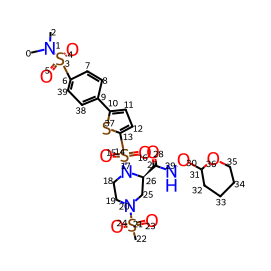 CN(C)S(=O)(=O)c1ccc(-c2ccc(S(=O)(=O)N3CCN(S(C)(=O)=O)C[C@@H]3C(=O)NOC3CCCCO3)s2)cc1